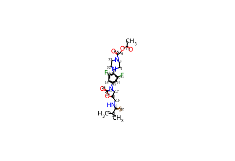 CC(=O)OCC(=O)N1CCN(c2c(F)cc(N3CC(CNC(=S)C(C)C)OC3=O)cc2F)CC1